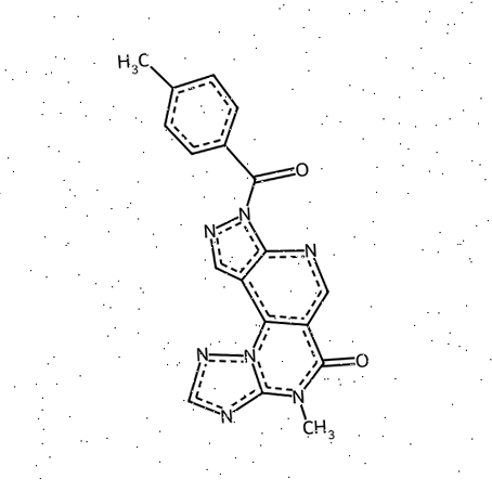 Cc1ccc(C(=O)n2ncc3c2ncc2c(=O)n(C)c4ncnn4c23)cc1